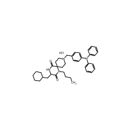 CCCCN1C(=O)C(CC2CCCCC2)NC(=O)C12CCN(Cc1ccc(N(c3ccccc3)c3ccccc3)cc1)CC2.Cl